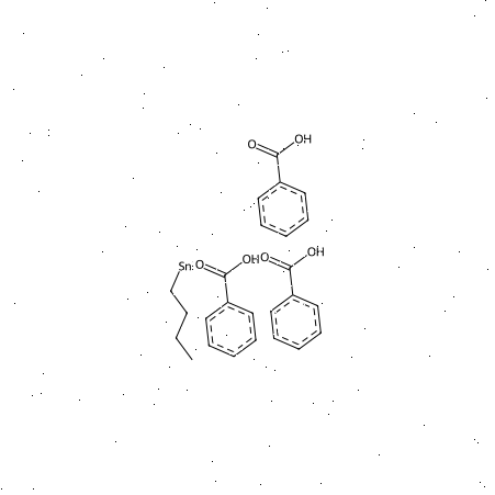 CCC[CH2][Sn].O=C(O)c1ccccc1.O=C(O)c1ccccc1.O=C(O)c1ccccc1